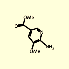 COC(=O)c1cnc(N)c(OC)c1